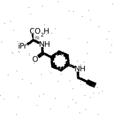 C#CCNc1ccc(C(=O)N[C@H](C(=O)O)C(C)C)cc1